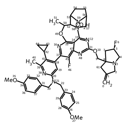 C=C1CN2C[C@H](F)CC2(COc2nc3c4c(nc(-c5cc(N(Cc6ccc(OC)cc6)Cc6ccc(OC)cc6)nc(C)c5C5CC5)c(F)c4n2)OC(C)C2C4CCC(CN32)N4C(=O)O)C1